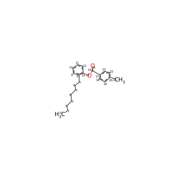 CCCCCCCCc1ccccc1OC(=O)c1ccc(C)cc1